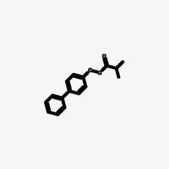 CC(C)C(=O)OOc1ccc(-c2ccccc2)cc1